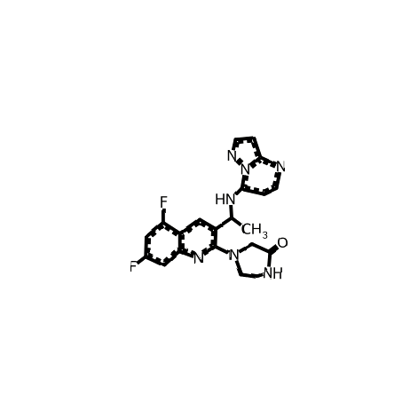 CC(Nc1ccnc2ccnn12)c1cc2c(F)cc(F)cc2nc1N1CCNC(=O)C1